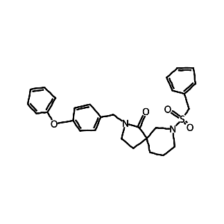 O=C1N(Cc2ccc(Oc3ccccc3)cc2)CCC12CCCN(S(=O)(=O)Cc1ccccc1)C2